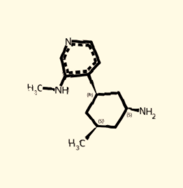 CNc1cnccc1[C@@H]1C[C@H](C)C[C@H](N)C1